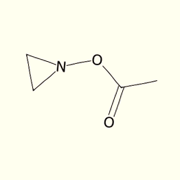 CC(=O)ON1CC1